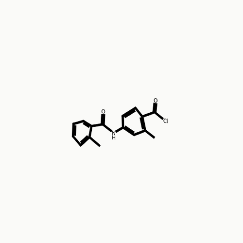 Cc1cc(NC(=O)c2ccccc2C)ccc1C(=O)Cl